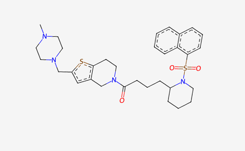 CN1CCN(Cc2cc3c(s2)CCN(C(=O)CCCC2CCCCN2S(=O)(=O)c2cccc4ccccc24)C3)CC1